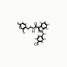 Cc1ccc(CCNC(=O)c2cn(Cc3ccc(Cl)cc3)c3ccccc23)c(C)n1